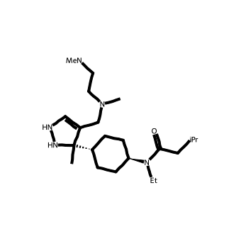 CCN(C(=O)CC(C)C)[C@H]1CC[C@H](C2(C)NNC=C2CN(C)CCNC)CC1